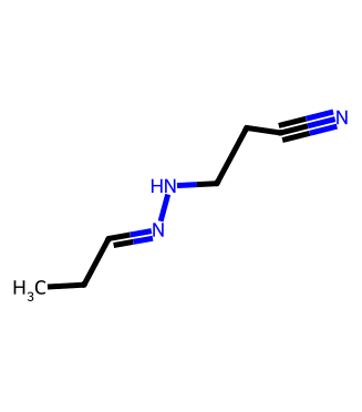 CC/C=N/NCCC#N